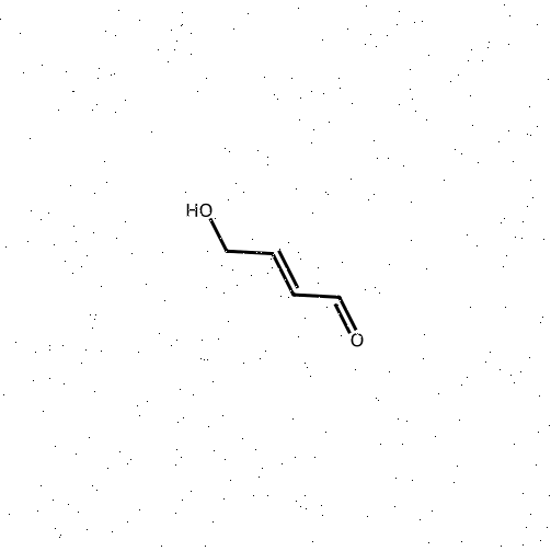 O=C/C=C/CO